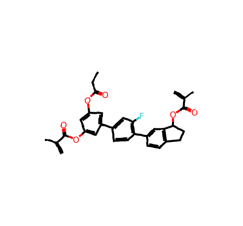 C=C(C)C(=O)Oc1cc(OC(=O)CC)cc(-c2ccc(-c3ccc4c(c3)C(OC(=O)C(=C)C)CC4)c(F)c2)c1